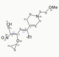 C#C/C(=C(\C=C(/CC)C1=CCN(CCOC)CC1)OC1CC1)[N+](=O)[O-]